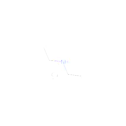 CCNCC.[Cu]